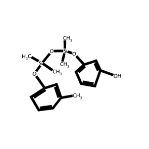 Cc1cccc(O[Si](C)(C)O[Si](C)(C)Oc2cccc(O)c2)c1